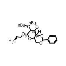 C=CCO[C@@H]1OC2COC(c3ccccc3)O[C@H]2[C@H](OCCCC)C1OCCCC